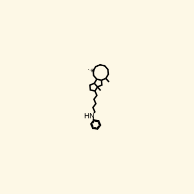 CC1CCCCC[C@@H](C)CC2C1CC1(C)C(CCCCCNc3ccccc3)CCC21